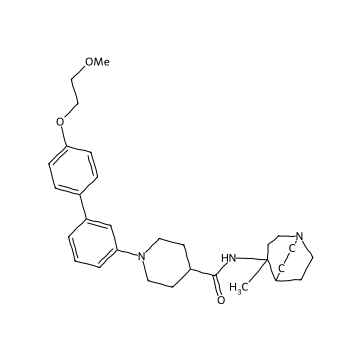 COCCOc1ccc(-c2cccc(N3CCC(C(=O)NC4(C)CCN5CCC4CC5)CC3)c2)cc1